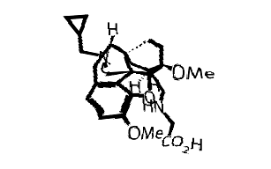 COc1ccc2c3c1O[C@H]1[C@@]4(OC)CC[C@@]5(C[C@@H]4CNCC(=O)O)[C@@H](C2)N(CC2CC2)CC[C@]315